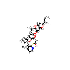 CC[C@H](C)[C@@H]1C[C@H]2OC3[C@H](C[C@H]2O1)O[C@@]1(C[C@@H]3C)C[C@H](C)C(O[Si](CC)(CC)CC)[C@H](CC(=O)Sc2ccccn2)O1